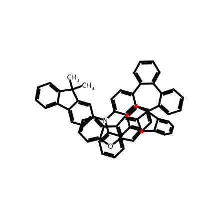 CC1(C)c2ccccc2-c2ccc(N(c3ccc4c(c3)C3(c5ccccc5-c5ccccc5-4)c4ccccc4-c4cc5oc6ccccc6c5cc43)c3ccccc3-c3ccccc3)cc21